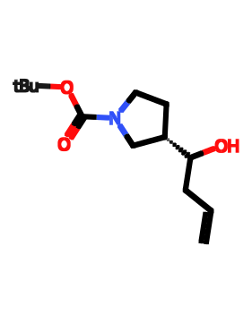 C=CCC(O)[C@H]1CCN(C(=O)OC(C)(C)C)C1